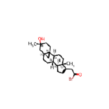 C[C@@]1(O)CC[C@@]23C[C@@]2(CC[C@@H]2[C@@H]3CC[C@]3(C)C(CC(=O)Br)=CC[C@@H]23)C1